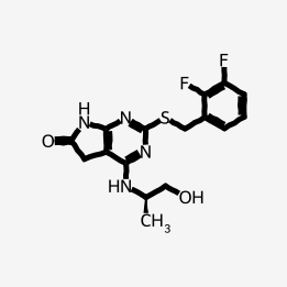 C[C@H](CO)Nc1nc(SCc2cccc(F)c2F)nc2c1CC(=O)N2